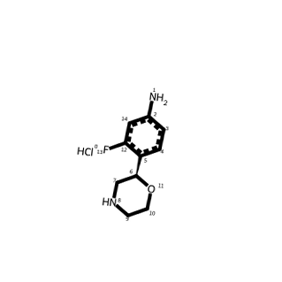 Cl.Nc1ccc([C@@H]2CNCCO2)c(F)c1